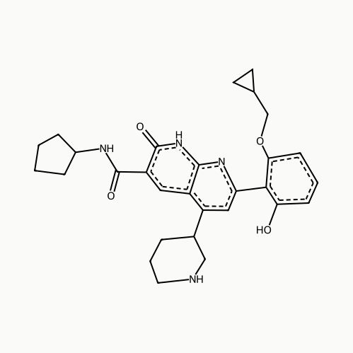 O=C(NC1CCCC1)c1cc2c(C3CCCNC3)cc(-c3c(O)cccc3OCC3CC3)nc2[nH]c1=O